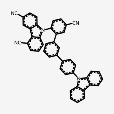 N#Cc1ccc(-n2c3ccc(C#N)cc3c3c(C#N)cccc32)c(-c2cccc(-c3ccc(-n4c5ccccc5c5ccccc54)cc3)c2)c1